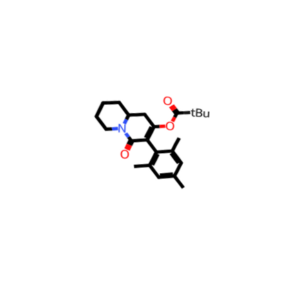 Cc1cc(C)c(C2=C(OC(=O)C(C)(C)C)CC3CCCCN3C2=O)c(C)c1